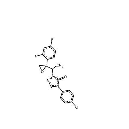 C[C@@H](n1nnn(-c2ccc(Cl)cc2)c1=O)[C@]1(c2ccc(F)cc2F)CO1